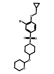 O=S(=O)(c1ccc(OCC2CC2)c(Br)c1)N1CCC(OC2CCCCO2)CC1